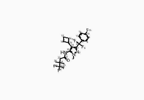 Cn1nc(C(F)(F)c2ccc(F)cc2)c(C2CCC2)c1NC(=O)CC(C)(C)C(F)(F)F